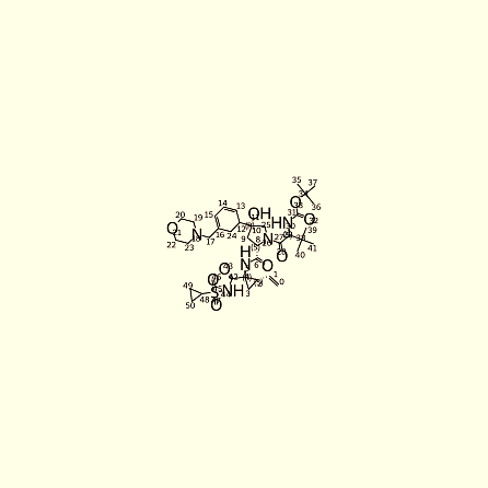 C=C[C@@H]1C[C@]1(NC(=O)[C@@H]1C[C@@](O)(C2C=CC=C(CN3CCOCC3)C2)CN1C(=O)[C@@H](NC(=O)OC(C)(C)C)C(C)(C)C)C(=O)NS(=O)(=O)C1CC1